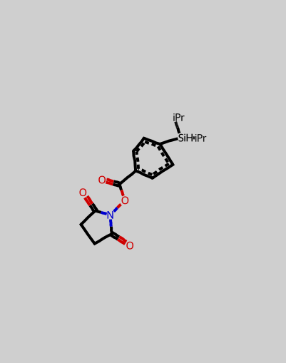 CC(C)[SiH](c1ccc(C(=O)ON2C(=O)CCC2=O)cc1)C(C)C